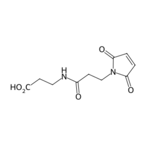 O=C(O)CCNC(=O)CCN1C(=O)C=CC1=O